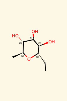 CC[C@@H]1O[C@@H](C)[C@H](O)[C@@H](O)[C@H]1O